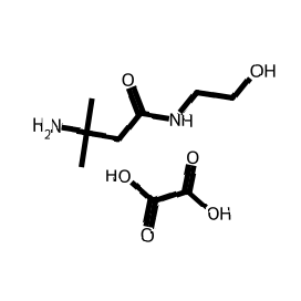 CC(C)(N)CC(=O)NCCO.O=C(O)C(=O)O